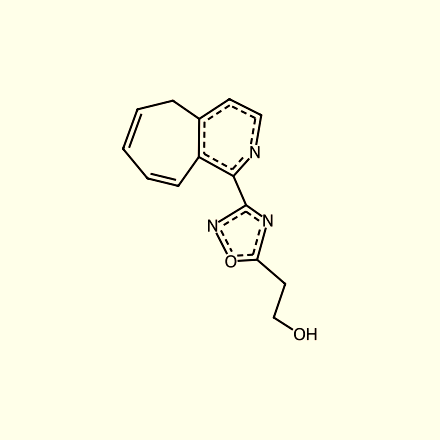 OCCc1nc(-c2nccc3c2C=CC=CC3)no1